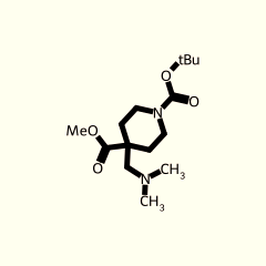 COC(=O)C1(CN(C)C)CCN(C(=O)OC(C)(C)C)CC1